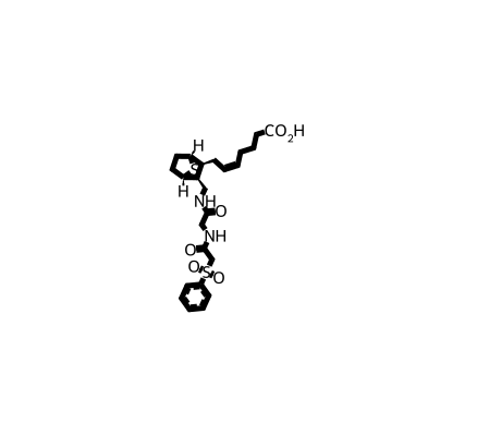 O=C(O)CCC/C=C\C[C@H]1[C@@H](CNC(=O)CNC(=O)CS(=O)(=O)c2ccccc2)[C@H]2CC[C@@H]1S2